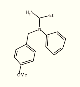 CCC(N)N(Cc1ccc(OC)cc1)c1ccccc1